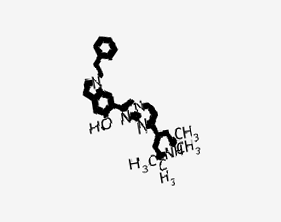 CC1(C)C=C(c2ccn3cc(-c4cc5c(ccn5CCc5ccccc5)cc4O)nc3n2)CC(C)(C)N1